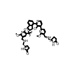 COc1nc(-c2ccnc(-c3cccc4c3CC[C@@H]4Oc3nc(OC)c(CNC[C@H]4CCC(=O)N4)cc3C(F)(F)F)c2Cl)ccc1CNC[C@H]1CCC(=O)N1